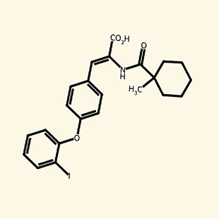 CC1(C(=O)NC(=Cc2ccc(Oc3ccccc3I)cc2)C(=O)O)CCCCC1